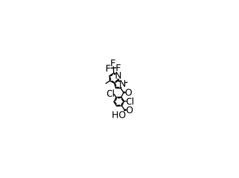 Cc1cc(C(F)(F)F)nc2c1cc(C(=O)c1c(Cl)ccc(C(=O)O)c1Cl)n2C